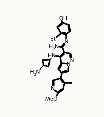 CCc1cc(O)ccc1/N=C(\N)c1cnn2cc(-c3cnc(OC)cc3C)cc2c1N[C@H]1C[C@H](N)C1